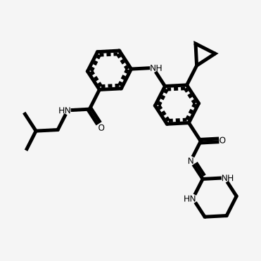 CC(C)CNC(=O)c1cccc(Nc2ccc(C(=O)N=C3NCCCN3)cc2C2CC2)c1